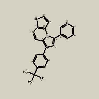 CC(C)(O)c1ccc(-c2nc(-c3cccnc3)n3c2cnc2[nH]ccc23)cc1